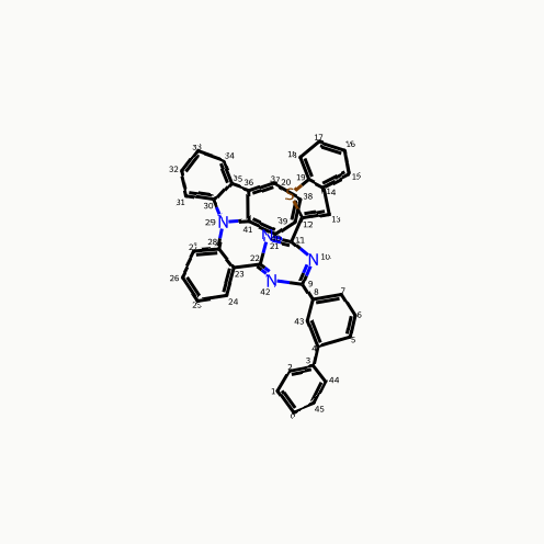 c1ccc(-c2cccc(-c3nc(-c4cc5ccccc5s4)nc(-c4ccccc4-n4c5ccccc5c5ccccc54)n3)c2)cc1